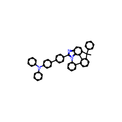 CC1(c2ccccc2)c2cccc3c2-c2c1ccc1nc(-c4ccc(-c5ccc(N(c6ccccc6)c6ccccc6)cc5)cc4)n(c21)-c1ccccc1-3